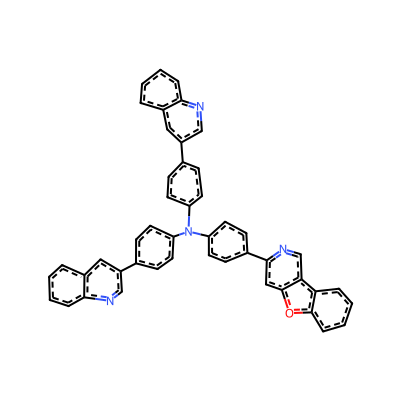 c1ccc2ncc(-c3ccc(N(c4ccc(-c5cnc6ccccc6c5)cc4)c4ccc(-c5cc6oc7ccccc7c6cn5)cc4)cc3)cc2c1